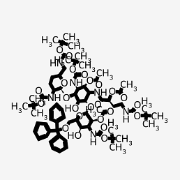 CC(=O)O[C@@H](CCNC(=O)OC(C)(C)C)C(=O)NC1[C@H](O[C@H]2OC(COC(c3ccccc3)(c3ccccc3)c3ccccc3)[C@@H](O)C(NC(=O)OC(C)(C)C)[C@@H]2OC(C)=O)C(O)C(O[C@H]2OC(CNC(=O)OC(C)(C)C)CCC2NC(=O)OC(C)(C)C)[C@H](NC(=O)OC(C)(C)C)[C@H]1OC(C)=O